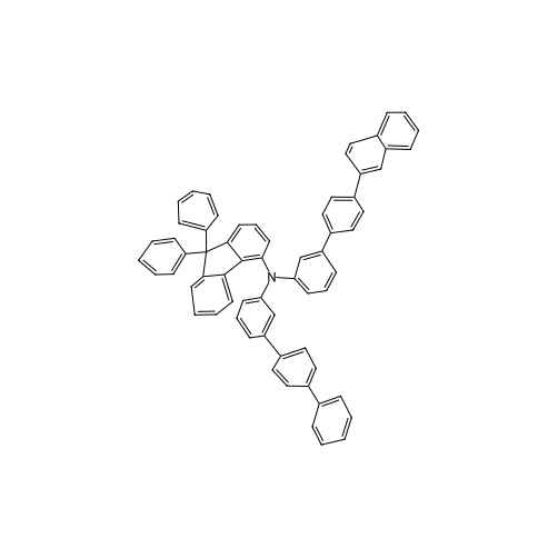 c1ccc(-c2ccc(-c3cccc(N(c4cccc(-c5ccc(-c6ccc7ccccc7c6)cc5)c4)c4cccc5c4-c4ccccc4C5(c4ccccc4)c4ccccc4)c3)cc2)cc1